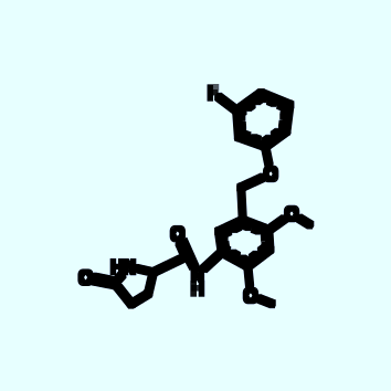 COc1cc(OC)c(NC(=O)C2CCC(=O)N2)cc1COc1cccc(F)c1